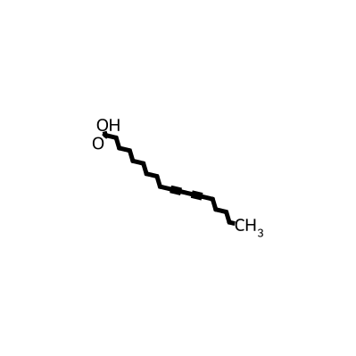 CCCCCC#CC#CCCCCCCCCC(=O)O